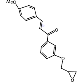 COc1ccc(/C=C/C(=O)c2cccc(OCC3CO3)c2)cc1